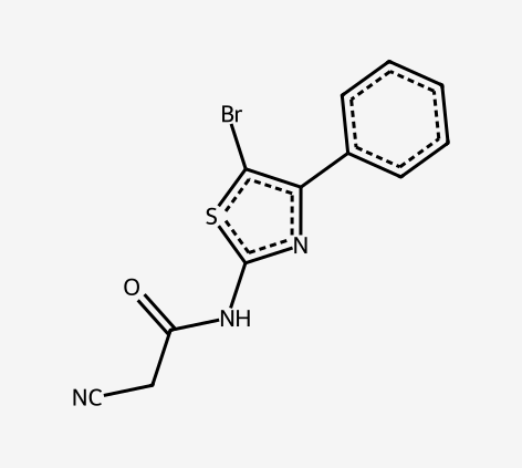 N#CCC(=O)Nc1nc(-c2ccccc2)c(Br)s1